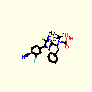 CC(C)(C)N(C(=O)O)[C@@H](Cc1ccccc1)c1nc(-c2ccc(C#N)c(F)c2)c(Cl)[nH]1